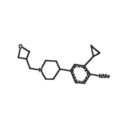 CNc1ccc(C2CCN(CC3COC3)CC2)cc1C1CC1